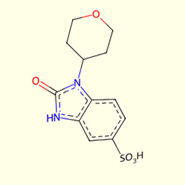 O=c1[nH]c2cc(S(=O)(=O)O)ccc2n1C1CCOCC1